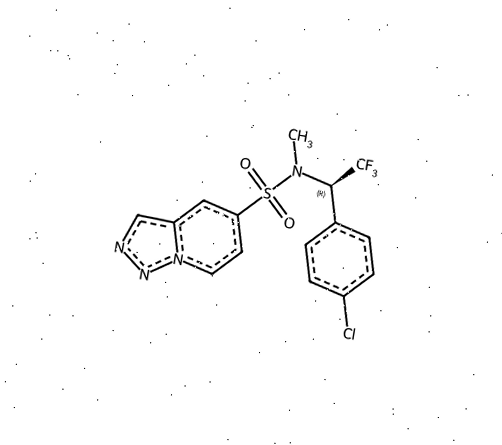 CN([C@H](c1ccc(Cl)cc1)C(F)(F)F)S(=O)(=O)c1ccn2nncc2c1